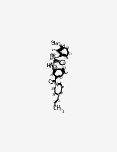 CCCN1CCCN(C(=O)c2cccc(NS(=O)(=O)c3cccc(Br)c3)c2)CC1